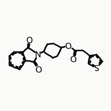 O=C(Cc1ccsc1)OC1CCC(N2C(=O)c3ccccc3C2=O)CC1